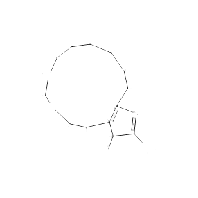 CC1=NC2=C(CCCCCCCCCCC2)C1C